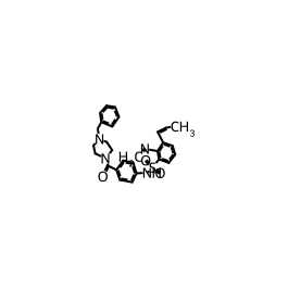 C=Nc1c(/C=C\C)cccc1S(=O)(=O)Nc1ccc(C(=O)N2CCN(Cc3ccccc3)CC2)cc1